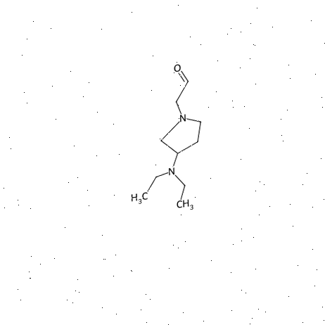 CCN(CC)C1CCN(CC=O)C1